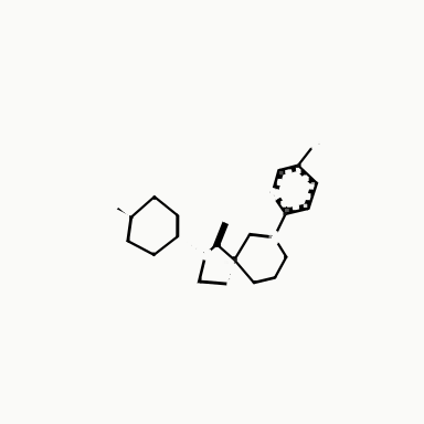 O=C1N([C@H]2CC[C@H](O)CC2)CC[C@]12CCCN(c1ccc(Br)cn1)C2